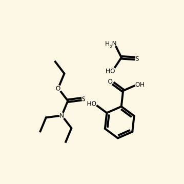 CCOC(=S)N(CC)CC.NC(O)=S.O=C(O)c1ccccc1O